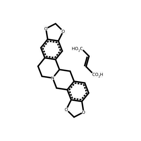 O=C(O)/C=C/C(=O)O.c1cc2c(c3c1CC1c4cc5c(cc4CCN1C3)OCO5)OCO2